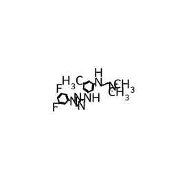 Cc1cc(NCCN(C)C)cc(Nc2ncn(-c3cc(F)cc(F)c3)n2)c1